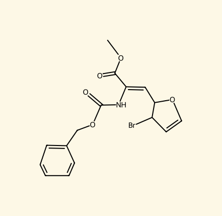 COC(=O)/C(=C/C1OC=CC1Br)NC(=O)OCc1ccccc1